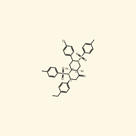 CCc1ccc([C@@H]2CC(=O)[C@@H]3CN(S(=O)(=O)c4ccc(C)cc4)C(c4ccc(Cl)cc4)C[C@@H]3N2S(=O)(=O)c2ccc(C)cc2)cc1